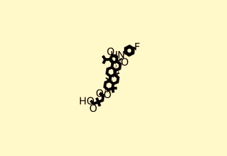 CC(C)C1=C2C3CCC4[C@@]5(C)CC[C@H](OC(=O)CC(C)(C)C(=O)O)C(C)(C)C5CC[C@@]4(C)[C@]3(C)CC[C@@]2(C(=O)Nc2ccc(F)cc2)CC1=O